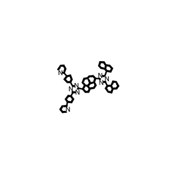 c1ccc(-c2ccc(-c3nc(-c4ccc(-c5ccccn5)cc4)nc(-c4ccc5ccc6c(-c7nc(-c8cccc9ccccc89)nc(-c8cccc9ccccc89)n7)ccc7ccc4c5c76)n3)cc2)nc1